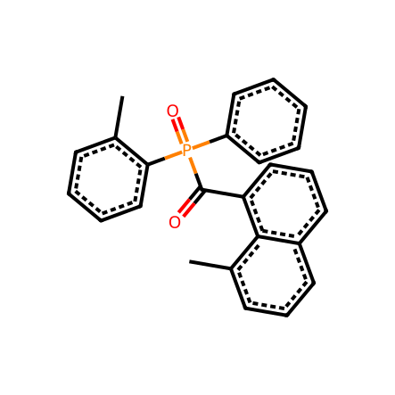 Cc1ccccc1P(=O)(C(=O)c1cccc2cccc(C)c12)c1ccccc1